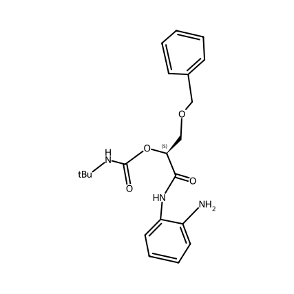 CC(C)(C)NC(=O)O[C@@H](COCc1ccccc1)C(=O)Nc1ccccc1N